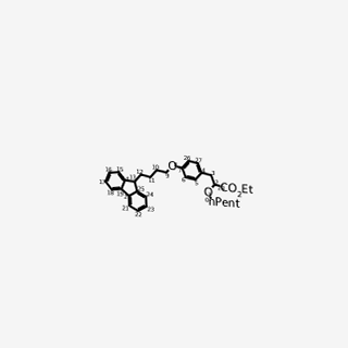 CCCCCOC(Cc1ccc(OCCCCC2c3ccccc3-c3ccccc32)cc1)C(=O)OCC